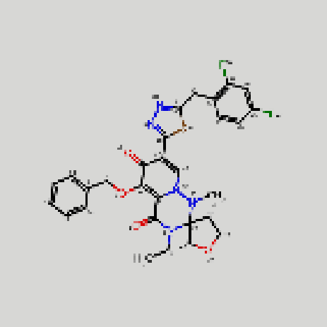 CCN1C(=O)c2c(OCc3ccccc3)c(=O)c(-c3nnc(Cc4ccc(F)cc4F)s3)cn2N(C)C12CCOC2